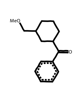 COCC1CCCC(C(=O)c2ccccc2)C1